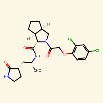 O=C[C@H](C[C@@H]1CCNC1=O)NC(=O)[C@@H]1[C@H]2CCC[C@H]2CN1C(=O)COc1ccc(Cl)cc1Cl